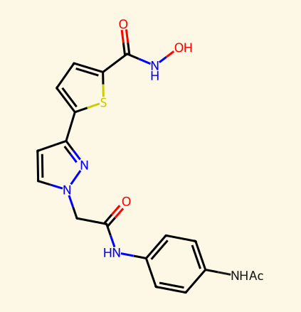 CC(=O)Nc1ccc(NC(=O)Cn2ccc(-c3ccc(C(=O)NO)s3)n2)cc1